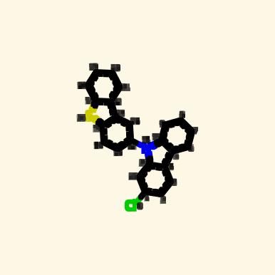 Clc1ccc2c3ccccc3n(-c3ccc4sc5ccccc5c4c3)c2c1